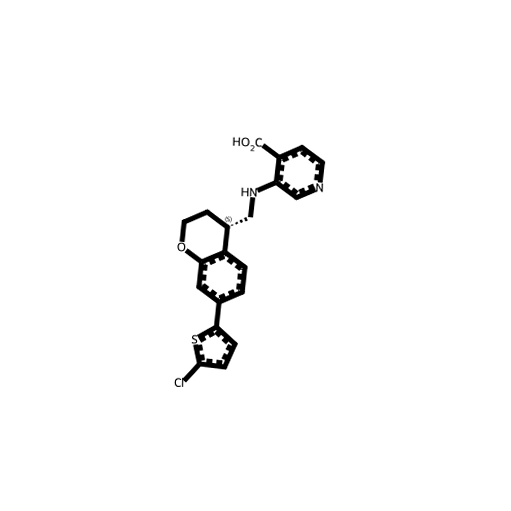 O=C(O)c1ccncc1NC[C@H]1CCOc2cc(-c3ccc(Cl)s3)ccc21